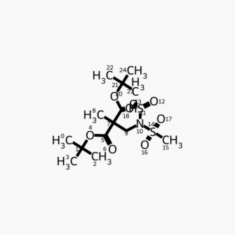 CC(C)(C)OC(=O)C(C)(CN([SH](=O)=O)S(C)(=O)=O)C(=O)OC(C)(C)C